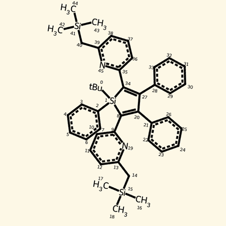 CC(C)(C)[Si]1(c2ccccc2)C(c2cccc(C[Si](C)(C)C)n2)=C(c2ccccc2)C(c2ccccc2)=C1c1cccc(C[Si](C)(C)C)n1